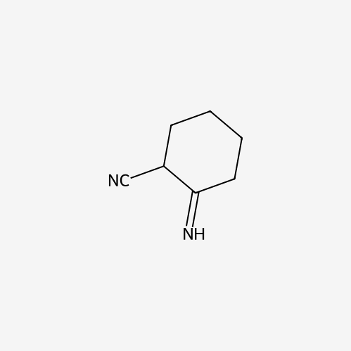 N#CC1CCCCC1=N